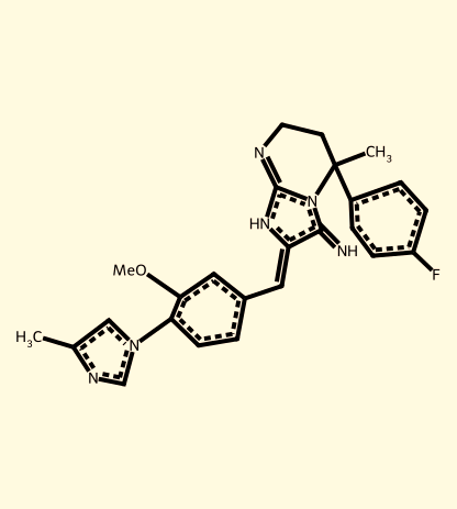 COc1cc(/C=c2\[nH]c3n(c2=N)C(C)(c2ccc(F)cc2)CCN=3)ccc1-n1cnc(C)c1